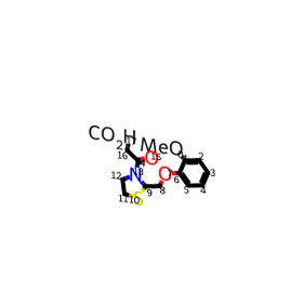 COc1ccccc1OCC1SCCN1C(=O)CC(=O)O